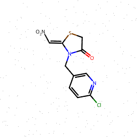 O=C1CSC(=C[N+](=O)[O-])N1Cc1ccc(Cl)nc1